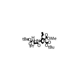 C=CC[C@@H]1[C@@H](NC(=O)[C@@H](NC(=O)OC(C)(C)C)C(C)C)CN(C(=O)OC(C)(C)C)[C@@H]1C(=O)OC